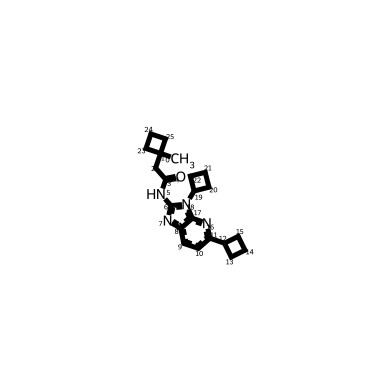 CC1(CC(=O)Nc2nc3ccc(C4CCC4)nc3n2C2CCC2)CCC1